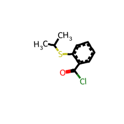 CC(C)Sc1ccccc1C(=O)Cl